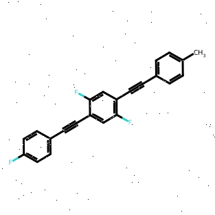 Cc1ccc(C#Cc2cc(F)c(C#Cc3ccc(F)cc3)cc2F)cc1